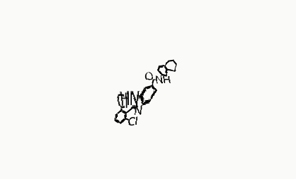 O=C(Nc1ccc2c(c1)CCCC2)c1ccc2nc(-c3c(Cl)cccc3Cl)[nH]c2c1